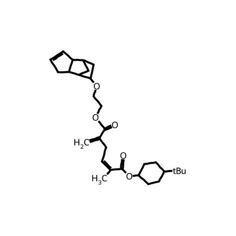 C=C(C/C=C(/C)C(=O)OC1CCC(C(C)(C)C)CC1)C(=O)OCCOC1CC2CC1C1CC=CC21